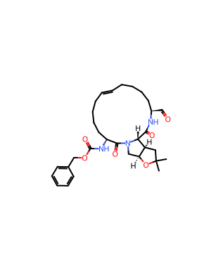 CC1(C)C[C@H]2[C@H](CN3C(=O)[C@@H](NC(=O)OCc4ccccc4)CCCC/C=C/CCCC[C@@H](C=O)NC(=O)[C@H]23)O1